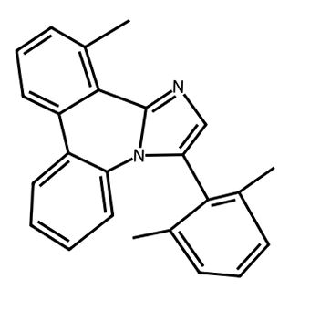 Cc1cccc(C)c1-c1cnc2c3c(C)cccc3c3ccccc3n12